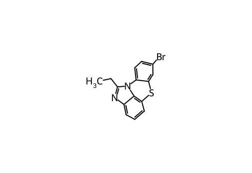 CCc1nc2cccc3c2n1-c1ccc(Br)cc1S3